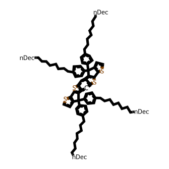 CCCCCCCCCCCCCCCCCCc1ccc(C2(c3ccc(CCCCCCCCCCCCCCCCCC)cc3)c3ccsc3-c3sc4cc5c6c(sc5cc4c32)-c2sccc2C6(c2ccc(CCCCCCCCCCCCCCCCCC)cc2)c2ccc(CCCCCCCCCCCCCCCCCC)cc2)cc1